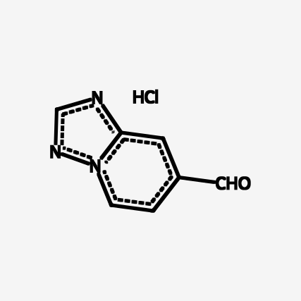 Cl.O=Cc1ccn2ncnc2c1